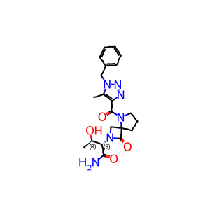 Cc1c(C(=O)N2CCCC23CN([C@H](C(N)=O)[C@@H](C)O)C3=O)nnn1Cc1ccccc1